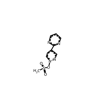 CS(=O)(=O)O[n+]1ccc(-c2ncccn2)cn1